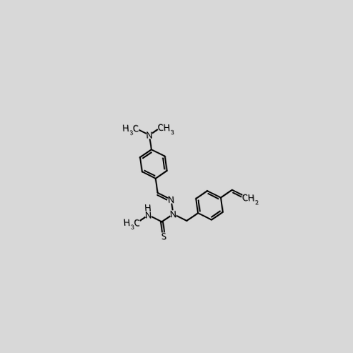 C=Cc1ccc(CN(N=Cc2ccc(N(C)C)cc2)C(=S)NC)cc1